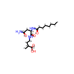 CCCCCCCC(=O)NC(CC(N)=O)C(=O)NCCC(C)C(=O)O